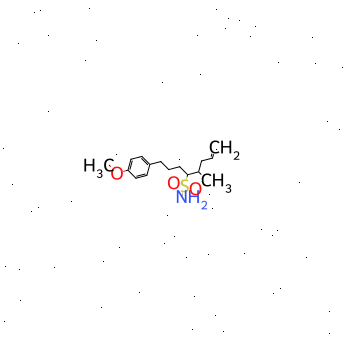 C=CCC(C)C(CCCc1ccc(OC)cc1)S(N)(=O)=O